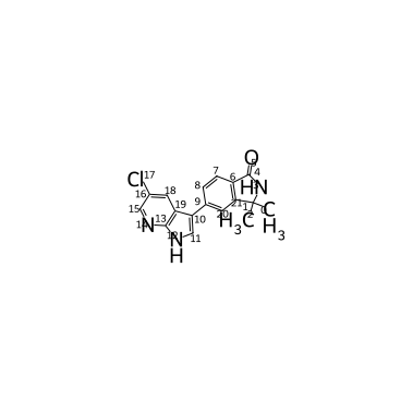 CC1(C)NC(=O)c2ccc(-c3c[nH]c4ncc(Cl)cc34)cc21